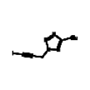 CC(C)(C)c1nnn(CC#CI)n1